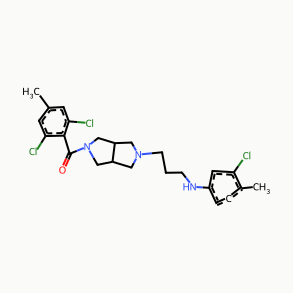 Cc1cc(Cl)c(C(=O)N2CC3CN(CCCNc4ccc(C)c(Cl)c4)CC3C2)c(Cl)c1